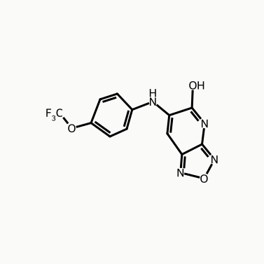 Oc1nc2nonc2cc1Nc1ccc(OC(F)(F)F)cc1